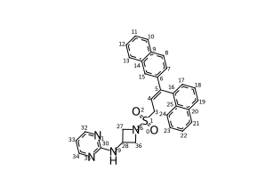 O=S(=O)(CC=C(c1ccc2ccccc2c1)c1cccc2ccccc12)N1CC(Nc2ncccn2)C1